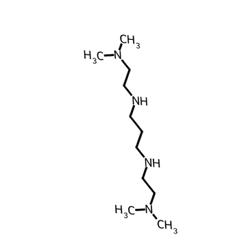 CN(C)CCNCCCNCCN(C)C